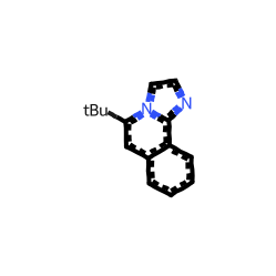 CC(C)(C)c1cc2ccccc2c2nccn12